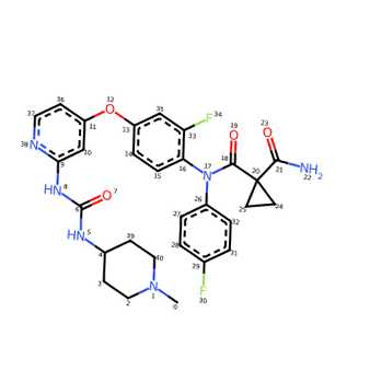 CN1CCC(NC(=O)Nc2cc(Oc3ccc(N(C(=O)C4(C(N)=O)CC4)c4ccc(F)cc4)c(F)c3)ccn2)CC1